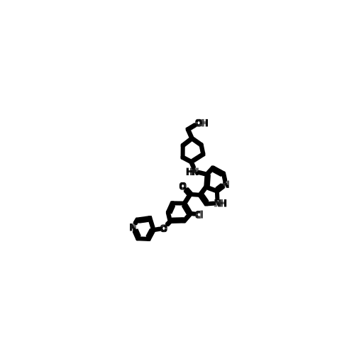 O=C(c1ccc(Oc2ccncc2)cc1Cl)c1c[nH]c2nccc(NC3CCC(CO)CC3)c12